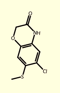 CSc1cc2c(cc1Cl)NC(=O)CO2